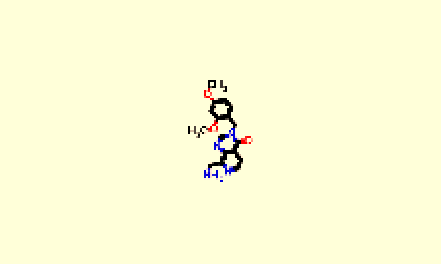 COc1ccc(Cn2cnc3c(CN)nccc3c2=O)c(OC)c1